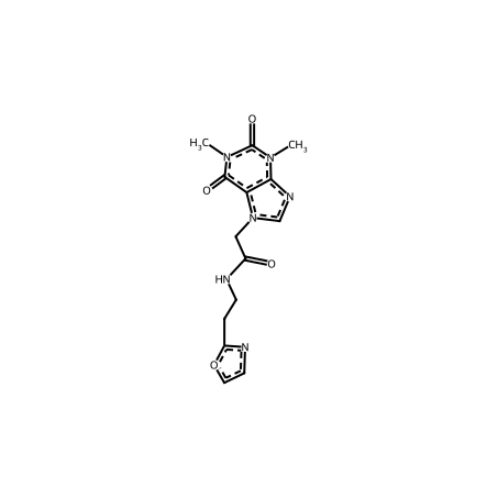 Cn1c(=O)c2c(ncn2CC(=O)NCCc2ncco2)n(C)c1=O